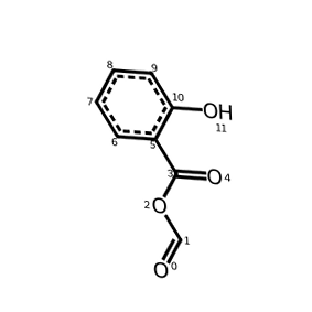 O=COC(=O)c1ccccc1O